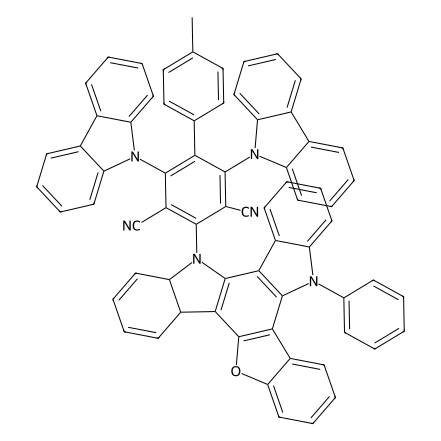 Cc1ccc(-c2c(-n3c4ccccc4c4ccccc43)c(C#N)c(N3c4c(c5oc6ccccc6c5c5c4c4ccccc4n5-c4ccccc4)C4C=CC=CC43)c(C#N)c2-n2c3ccccc3c3ccccc32)cc1